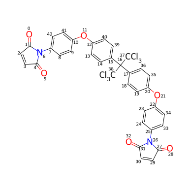 O=C1C=CC(=O)N1c1ccc(Oc2ccc(C(c3ccc(Oc4ccc(N5C(=O)C=CC5=O)cc4)cc3)(C(Cl)(Cl)Cl)C(Cl)(Cl)Cl)cc2)cc1